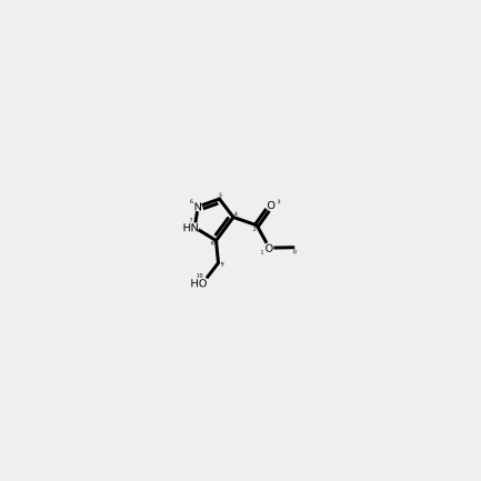 COC(=O)c1cn[nH]c1CO